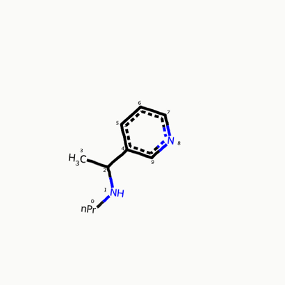 CCCNC(C)c1cccnc1